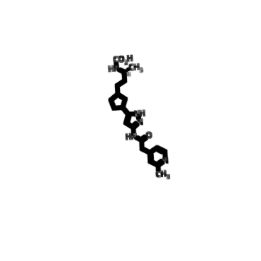 Cc1cc(CC(=O)Nc2cc(C3CCC(CC[C@H](C)NC(=O)O)C3)[nH]n2)ccn1